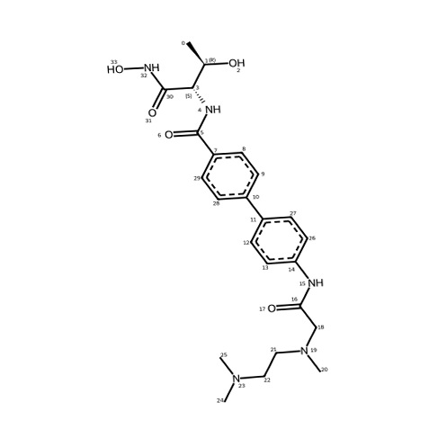 C[C@@H](O)[C@H](NC(=O)c1ccc(-c2ccc(NC(=O)CN(C)CCN(C)C)cc2)cc1)C(=O)NO